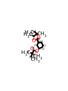 CCC(C)(CC)OC(=O)C1CCCC(OC(=O)C(C)(C)CC)C1